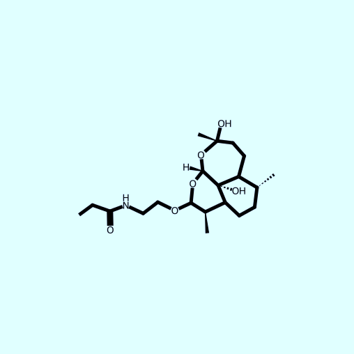 CCC(=O)NCCOC1O[C@@H]2O[C@](C)(O)CCC3[C@H](C)CCC([C@H]1C)[C@]32O